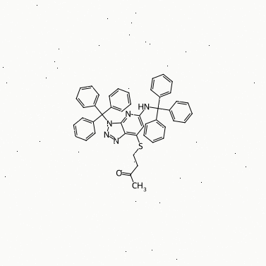 CC(=O)CCSc1cc(NC(c2ccccc2)(c2ccccc2)c2ccccc2)nc2c1nnn2C(c1ccccc1)(c1ccccc1)c1ccccc1